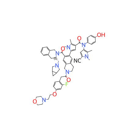 Cc1c(N(C(=O)c2cc(-c3cc4c(cc3C(=O)N3Cc5ccccc5C[C@H]3CN3CC5CC5C3)CN(C(=O)Cc3ccc(OCCN5CCOCC5)cc3F)CC4)n(C)c2C)c2ccc(O)cc2)cc(C#N)n1C